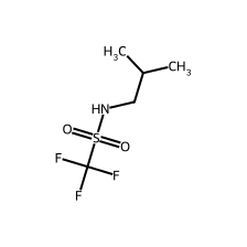 CC(C)CNS(=O)(=O)C(F)(F)F